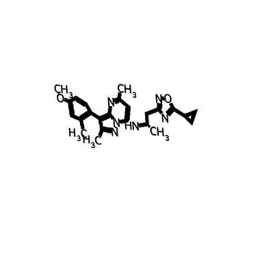 COc1ccc(-c2c(C)nn3c(N[C@H](C)Cc4noc(C5CC5)n4)cc(C)nc23)c(C)c1